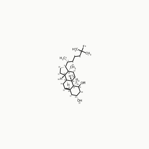 C[C@H](CCCC(C)(C)F)[C@H]1CC[C@H]2[C@@H]3CC=C4C[C@@H](O)CC(O)[C@]4(C)[C@H]3CC[C@]12C